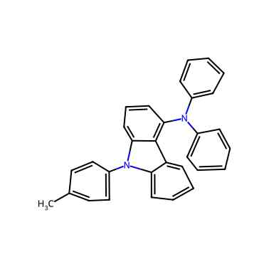 Cc1ccc(-n2c3ccccc3c3c(N(c4ccccc4)c4ccccc4)cccc32)cc1